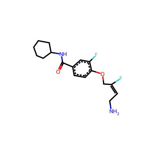 NC/C=C(/F)COc1ccc(C(=O)NC2CCCCC2)cc1F